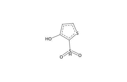 O=[SH](=O)c1sccc1O